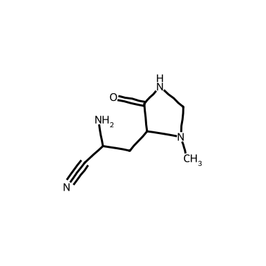 CN1CNC(=O)C1CC(N)C#N